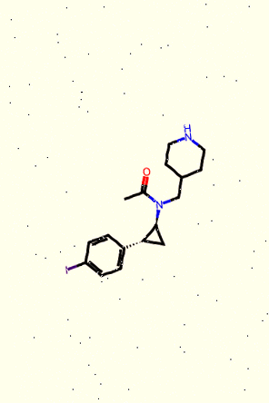 CC(=O)N(CC1CCNCC1)[C@H]1C[C@@H]1c1ccc(I)cc1